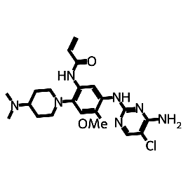 C=CC(=O)Nc1cc(Nc2ncc(Cl)c(N)n2)c(OC)cc1N1CCC(N(C)C)CC1